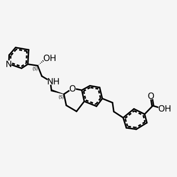 O=C(O)c1cccc(CCc2ccc3c(c2)CC[C@@H](CNC[C@@H](O)c2cccnc2)O3)c1